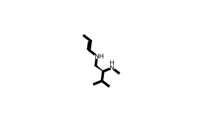 C/C=C/NC[C@@H](NC)C(C)C